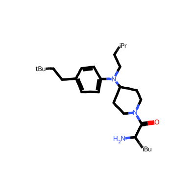 CCC(C)C(N)C(=O)N1CCC(N(CCC(C)C)c2ccc(CCC(C)(C)C)cc2)CC1